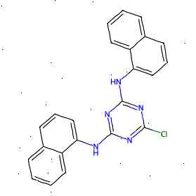 Clc1nc(Nc2cccc3ccccc23)nc(Nc2cccc3ccccc23)n1